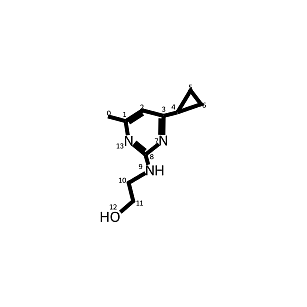 Cc1cc(C2CC2)nc(NCCO)n1